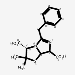 CC1(C)SC2C(C(=O)O)N=C(Cc3ccccc3)N2[C@H]1C(=O)O